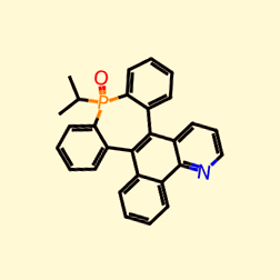 CC(C)P1(=O)c2ccccc2-c2c(c3cccnc3c3ccccc23)-c2ccccc21